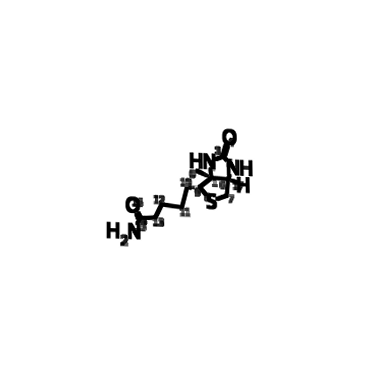 C[C@@]12NC(=O)N[C@@H]1CS[C@@H]2CCCCC(N)=O